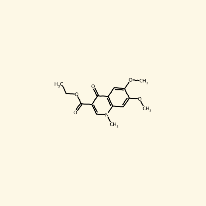 CCOC(=O)c1cn(C)c2cc(OC)c(OC)cc2c1=O